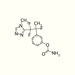 Cn1cnnc1C(F)(F)C(C)(F)c1cccc(OC(N)=O)c1